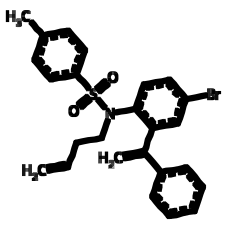 C=CCCN(c1ccc(Br)cc1C(=C)c1ccccc1)S(=O)(=O)c1ccc(C)cc1